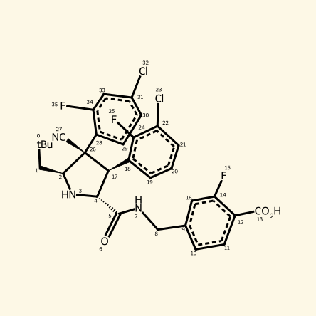 CC(C)(C)C[C@@H]1N[C@@H](C(=O)NCc2ccc(C(=O)O)c(F)c2)[C@H](c2cccc(Cl)c2F)[C@@]1(C#N)c1ccc(Cl)cc1F